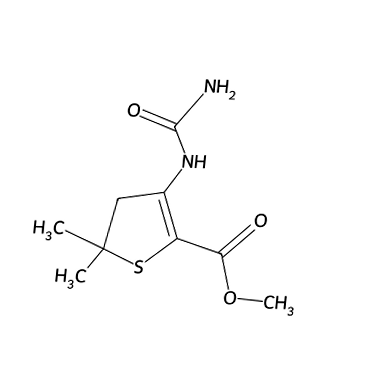 COC(=O)C1=C(NC(N)=O)CC(C)(C)S1